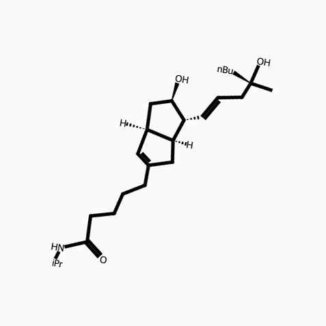 CCCC[C@](C)(O)C/C=C/[C@@H]1[C@H]2CC(CCCCC(=O)NC(C)C)=C[C@H]2C[C@H]1O